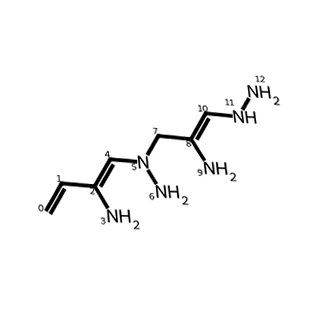 C=C/C(N)=C/N(N)C/C(N)=C/NN